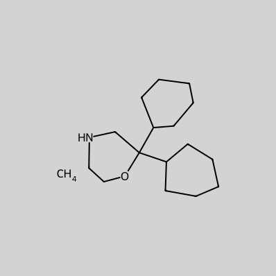 C.C1CCC(C2(C3CCCCC3)CNCCO2)CC1